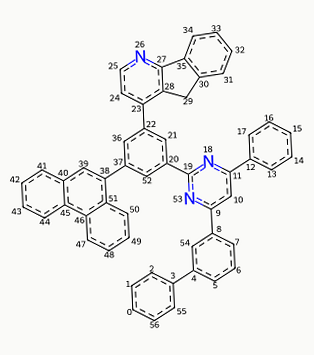 c1ccc(-c2cccc(-c3cc(-c4ccccc4)nc(-c4cc(-c5ccnc6c5Cc5ccccc5-6)cc(-c5cc6ccccc6c6ccccc56)c4)n3)c2)cc1